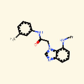 CC(C)Nc1cccc2ncn(CC(=O)Nc3cccc(C(F)(F)F)c3)c12